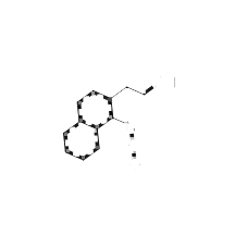 C=CCc1ccc2ccccc2c1N=C=O